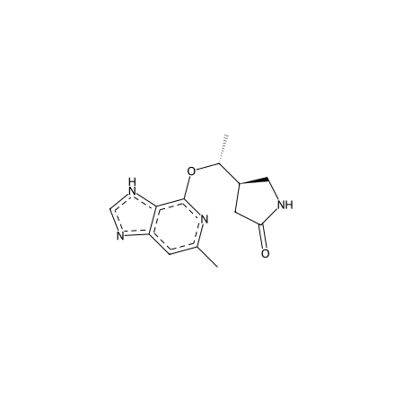 Cc1cc2nc[nH]c2c(O[C@H](C)[C@H]2CNC(=O)C2)n1